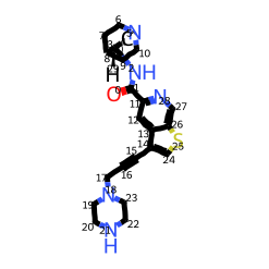 O=C(N[C@H]1CN2CCC1CC2)c1cc2c(C#CCN3CCNCC3)csc2cn1